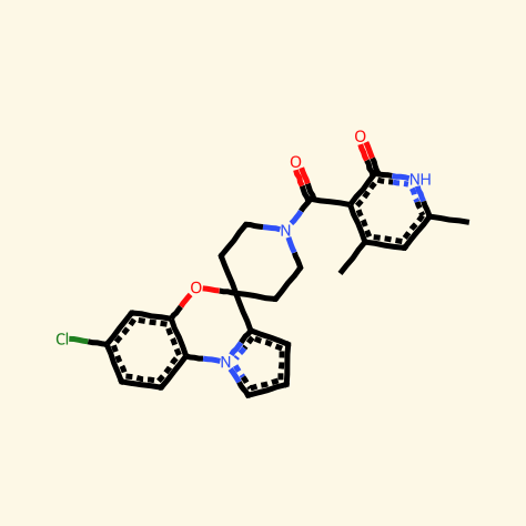 Cc1cc(C)c(C(=O)N2CCC3(CC2)Oc2cc(Cl)ccc2-n2cccc23)c(=O)[nH]1